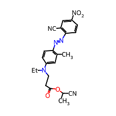 CCN(CCC(=O)OC(C)C#N)c1ccc(N=Nc2ccc([N+](=O)[O-])cc2C#N)c(C)c1